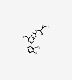 Cc1c(F)cccc1-c1cc(CF)c2nc(NC(=O)C3CC3F)cn2c1